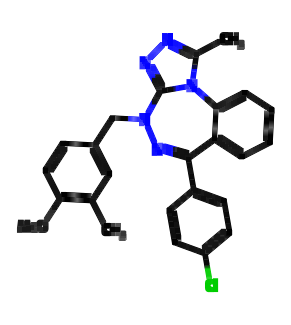 COc1ccc(CN2N=C(c3ccc(Cl)cc3)c3ccccc3-n3c(C)nnc32)cc1C